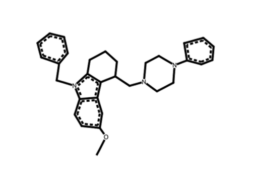 COc1ccc2c(c1)c1c(n2Cc2ccccc2)CCCC1CN1CCN(c2ccccc2)CC1